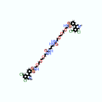 CN1Cc2c(Cl)cc(Cl)cc2C(c2cccc(S(=O)(=O)NCCOCCOCCOCCNC(=O)NCCCCNC(=O)NCCOCCOCCOCCNS(=O)(=O)c3cccc(C4CN(C)Cc5c(Cl)cc(Cl)cc54)c3)c2)C1